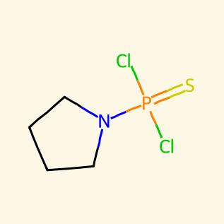 S=P(Cl)(Cl)N1CCCC1